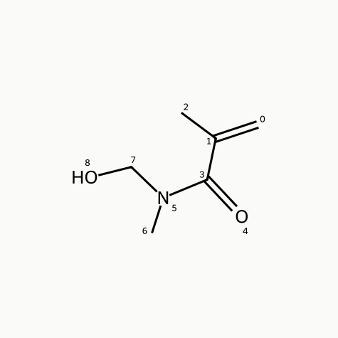 C=C(C)C(=O)N(C)CO